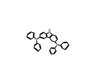 C1=CC(N(c2ccccc2)c2ccccc2)Cc2c1[nH]c1ccc(N(c3ccccc3)c3ccccc3)cc21